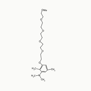 COCCOCCOCCOCCOCCOc1cc(C)cc(N(C)C)c1C